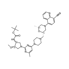 CO[C@@H]1CN(c2nc(C)cc(N3CCN(C[C@H]4CN(c5ccc(C#N)c6ncccc56)C[C@@H](C)O4)CC3)n2)C[C@@H]1NC(=O)OC(C)(C)C